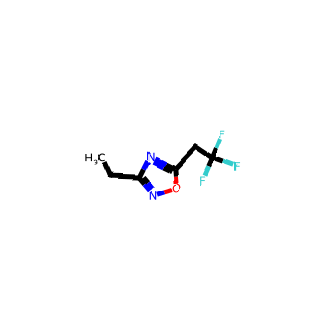 CCc1noc(CC(F)(F)F)n1